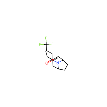 CCC1=CC2CCC(C1)N2C(=O)CCC(F)(F)F